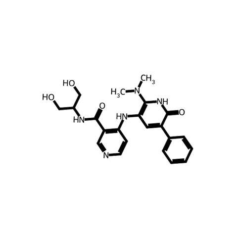 CN(C)c1[nH]c(=O)c(-c2ccccc2)cc1Nc1ccncc1C(=O)NC(CO)CO